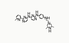 Cc1cccc(-c2nccc(Nc3ccnc(Nc4ccc(NCCN5CC(C)NC(C)C5)cc4)n3)n2)n1